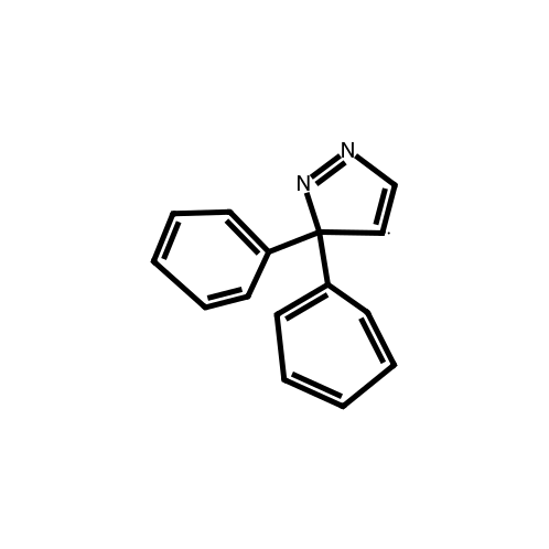 [C]1=CN=NC1(c1ccccc1)c1ccccc1